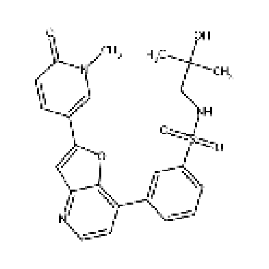 Cn1cc(-c2cc3nccc(-c4cccc(S(=O)(=O)NCC(C)(C)O)c4)c3o2)ccc1=O